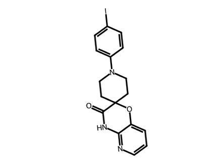 O=C1Nc2ncccc2OC12CCN(c1ccc(I)cc1)CC2